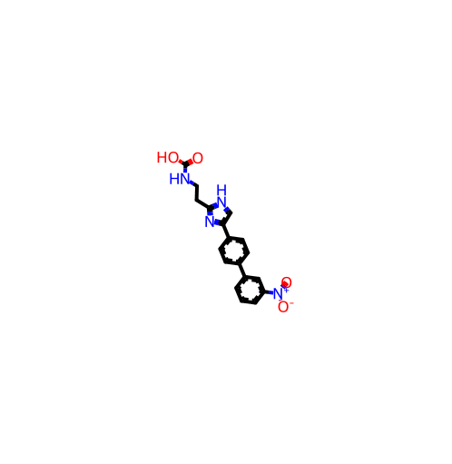 O=C(O)NCCc1nc(-c2ccc(-c3cccc([N+](=O)[O-])c3)cc2)c[nH]1